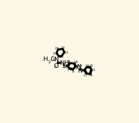 CN(C(=O)NSc1ccc(/N=N/c2ccccc2)cc1)C1CCCCC1